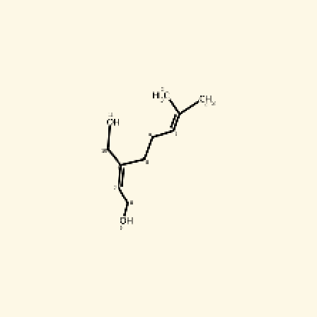 CC(C)=CCC/C(=C\CO)CO